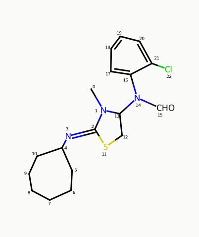 CN1C(=NC2CCCCCC2)SCC1N(C=O)c1ccccc1Cl